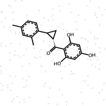 Cc1ccc(C2C[C@@H]2C(=O)c2c(O)cc(O)cc2O)c(C)c1